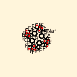 COC(c1cc([B-](c2cc(C(OC)(C(F)(F)F)C(F)(F)F)cc(C(OC)(C(F)(F)F)C(F)(F)F)c2)(c2cc(C(OC)(C(F)(F)F)C(F)(F)F)cc(C(OC)(C(F)(F)F)C(F)(F)F)c2)c2cc(C(OC)(C(F)(F)F)C(F)(F)F)cc(C(OC)(C(F)(F)F)C(F)(F)F)c2)cc(C(OC)(C(F)(F)F)C(F)(F)F)c1)(C(F)(F)F)C(F)(F)F.[Na+]